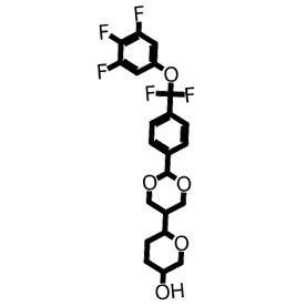 OC1CCC(C2COC(c3ccc(C(F)(F)Oc4cc(F)c(F)c(F)c4)cc3)OC2)OC1